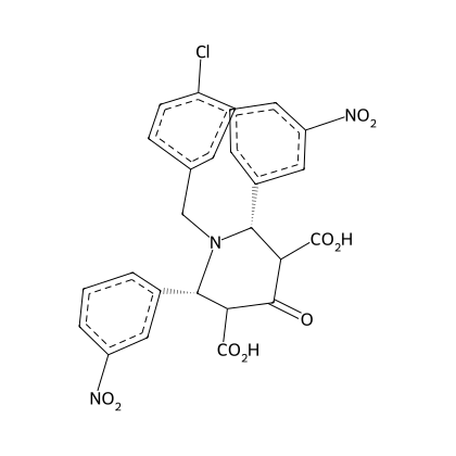 O=C(O)C1C(=O)C(C(=O)O)[C@H](c2cccc([N+](=O)[O-])c2)N(Cc2ccc(Cl)cc2)[C@@H]1c1cccc([N+](=O)[O-])c1